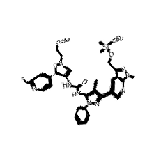 COCCN1C[C@@H](NC(=O)Nc2c(C)c(-c3cnc4c(c3)c(CO[Si](C)(C)C(C)(C)C)nn4C)nn2-c2ccccc2)[C@H](c2ccnc(F)c2)O1